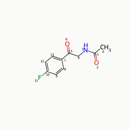 CC(=O)NCC(=O)c1ccc(F)cc1